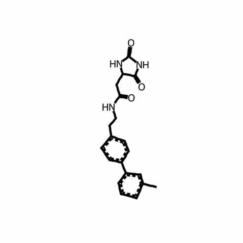 Cc1cccc(-c2ccc(CCNC(=O)CC3NC(=O)NC3=O)cc2)c1